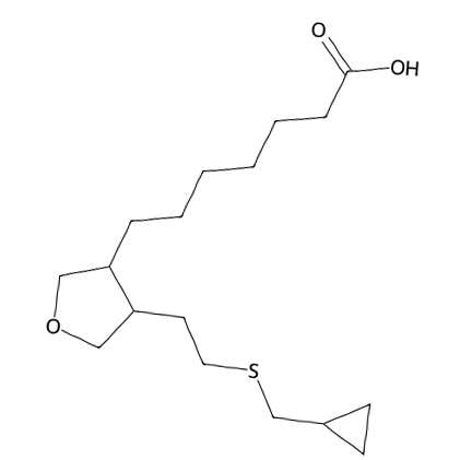 O=C(O)CCCCCCC1COCC1CCSCC1CC1